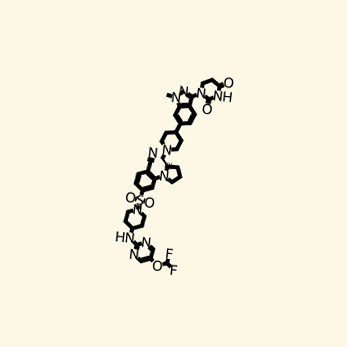 Cn1nc(N2CCC(=O)NC2=O)c2ccc(C3CCN(C[C@H]4CCCN4c4cc(S(=O)(=O)N5CCC(Nc6ncc(OC(F)F)cn6)CC5)ccc4C#N)CC3)cc21